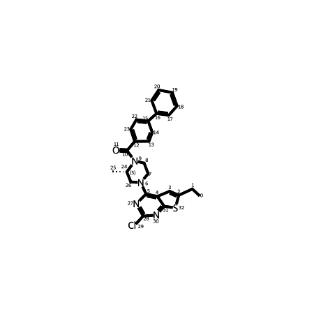 CCc1cc2c(N3CCN(C(=O)c4ccc(-c5ccccc5)cc4)[C@@H](C)C3)nc(Cl)nc2s1